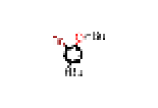 CCCCOc1ccc(C(C)(C)C)cc1Br